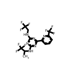 CC(Nc1nc(NCC(F)(F)F)nc(-c2cccc(C(F)(F)F)n2)n1)C(F)(F)F